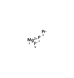 [F-].[F-].[Mg+2].[Pr]